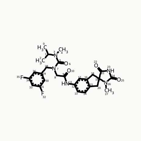 CC(C)N(C)C(=O)N(CC(=O)Nc1ccc2c(c1)CC1(C2)C(=O)NC(=O)N1C)Cc1cc(F)cc(F)c1